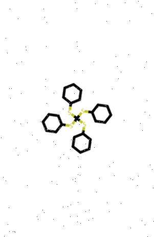 C1CCC(SC(SC2CCCCC2)(SC2CCCCC2)SC2CCCCC2)CC1